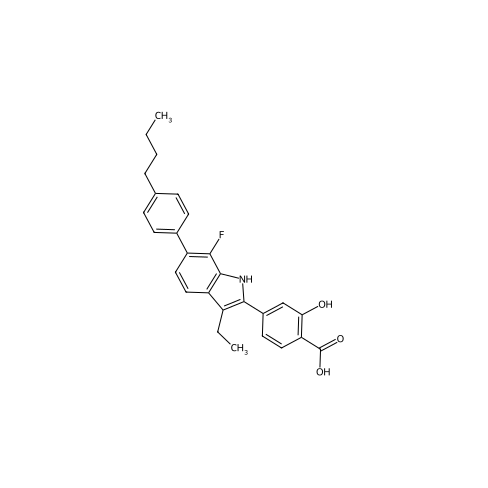 CCCCc1ccc(-c2ccc3c(CC)c(-c4ccc(C(=O)O)c(O)c4)[nH]c3c2F)cc1